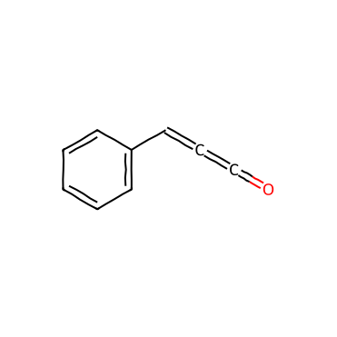 O=C=C=Cc1ccccc1